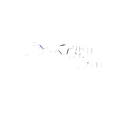 CC/C(=C\F)COc1ccc2nc(NCC(C)(C)C)oc2c1